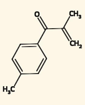 C=C(C)C(=O)c1ccc(C)cc1